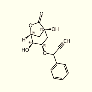 C#CC(O[C@@H]1C[C@]2(O)C[C@@H](OC2=O)[C@@H]1O)c1ccccc1